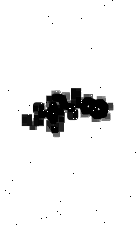 CNc1nn2c(C(=O)NC3Cc4ccccc4C3)ccnc2c1C(N)=O